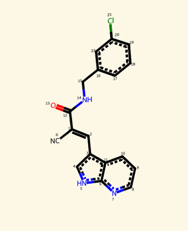 N#C/C(=C\c1c[nH]c2ncccc12)C(=O)NCc1cccc(Cl)c1